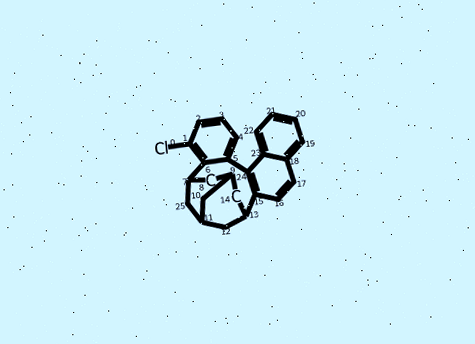 Clc1cccc2c1C1CC3CC(CC(C3)c3ccc4ccccc4c3-2)C1